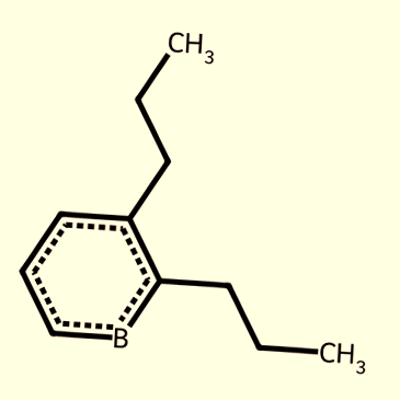 CCCc1bcccc1CCC